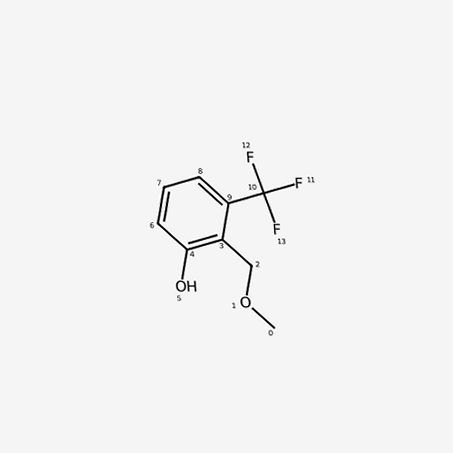 COCc1c(O)cccc1C(F)(F)F